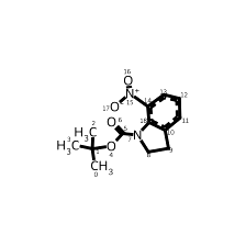 CC(C)(C)OC(=O)N1CCc2cccc([N+](=O)[O-])c21